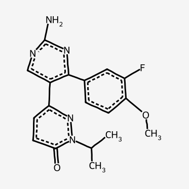 COc1ccc(-c2nc(N)ncc2-c2ccc(=O)n(C(C)C)n2)cc1F